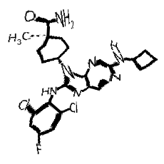 C[C@]1(C(N)=O)CC[C@@H](n2c(Nc3c(Cl)cc(F)cc3Cl)nc3cnc(NC4CCC4)nc32)CC1